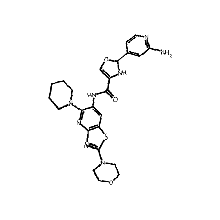 Nc1cc(C2NC(C(=O)Nc3cc4sc(N5CCOCC5)nc4nc3N3CCCCC3)=CO2)ccn1